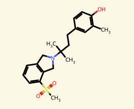 Cc1cc(CCC(C)(C)N2Cc3cccc(S(C)(=O)=O)c3C2)ccc1O